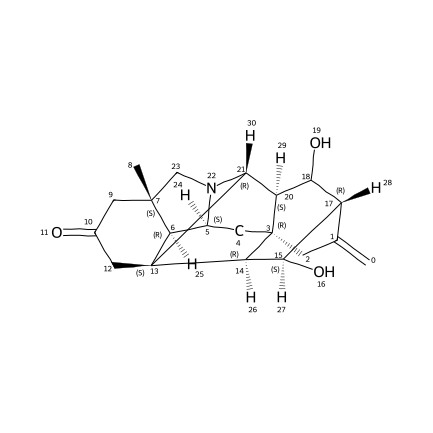 C=C1C[C@@]23C[C@H]4[C@@H]5[C@]6(C)CC(=O)C[C@@]57[C@@H]2[C@H](O)[C@@H]1C(O)[C@@H]3[C@H]7N4C6